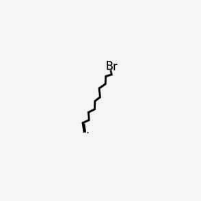 [CH]=CCCCCCCCCCBr